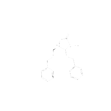 O=C1O[C@H](COCc2ccccc2)C(OCc2ccccc2)[C@H]1O